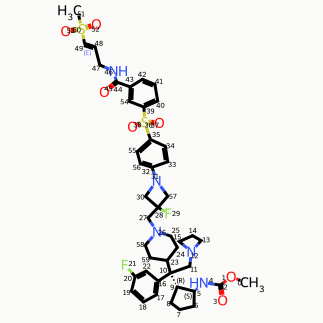 COC(=O)N[C@H]1CCC[C@@H]1C(CN1CCC1)(c1cccc(F)c1)C1CCN(CC2(F)CN(c3ccc(S(=O)(=O)c4cccc(C(=O)NC/C=C/S(C)(=O)=O)c4)cc3)C2)CC1